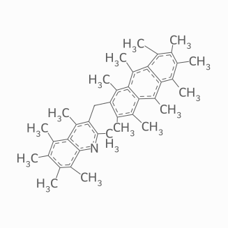 Cc1nc2c(C)c(C)c(C)c(C)c2c(C)c1Cc1c(C)c(C)c2c(C)c3c(C)c(C)c(C)c(C)c3c(C)c2c1C